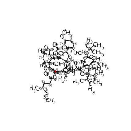 COc1ccc(OC)c(C(=O)O[C@H]2[C@@H]3[C@]4(OC(C)=O)CO[C@@H]4C[C@H]4O[C@@H]([C@H](OC(=O)CCC(C)SSC)C5=C(C)[C@@H](OC(=O)[C@H](O[Si](C(C)C)(C(C)C)C(C)C)[C@H](C=C(C)C)NC(=O)OC(C)(C)C)C[C@]2(O)C5(C)C)[C@@]34C)c1